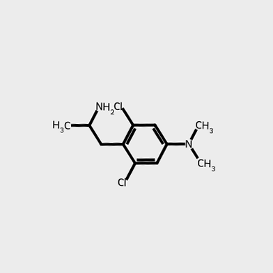 CC(N)Cc1c(Cl)cc(N(C)C)cc1Cl